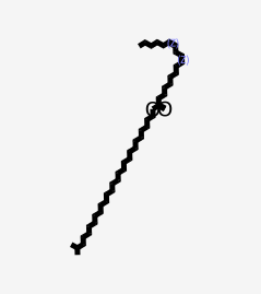 CCCCC/C=C\C/C=C\CCCCCCCC(=O)OCCCCCCCCCCCCCCCCCCCCCCCCCC(C)C